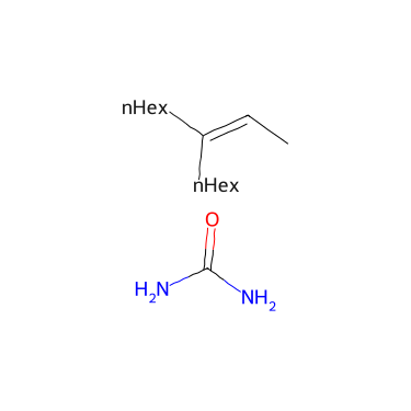 CC=C(CCCCCC)CCCCCC.NC(N)=O